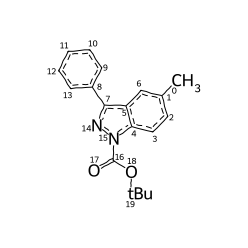 Cc1ccc2c(c1)c(-c1ccccc1)nn2C(=O)OC(C)(C)C